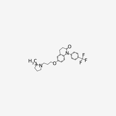 C[C@@H]1CCCN1CCCOc1ccc2c(c1)CCC(=O)N2c1ccc(C(F)(F)F)cc1